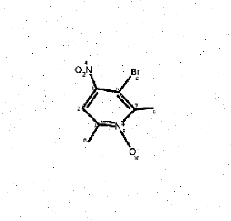 Cc1cc([N+](=O)[O-])c(Br)c(C)[n+]1[O-]